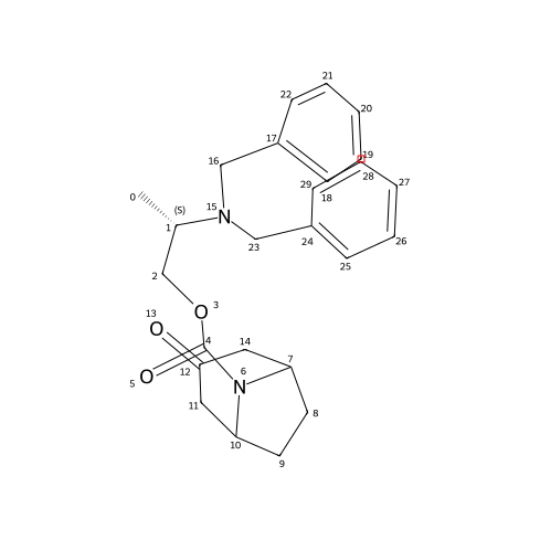 C[C@@H](COC(=O)N1C2CCC1CC(=O)C2)N(Cc1ccccc1)Cc1ccccc1